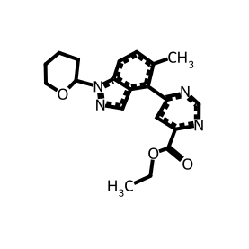 CCOC(=O)c1cc(-c2c(C)ccc3c2cnn3C2CCCCO2)ncn1